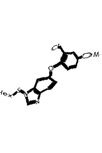 CCCCCCSn1cnc2ccc(Oc3ccc(OC)cc3Cl)cc21